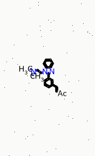 CC(=O)/C=C/c1cccc(-c2nc3ccccc3n2CCN(C)C)c1